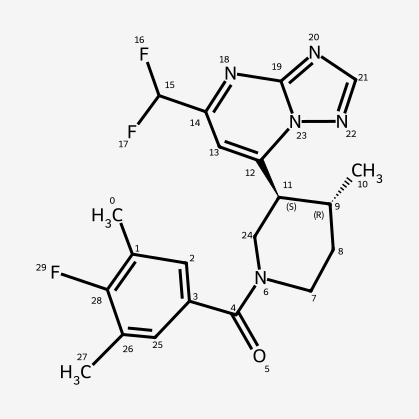 Cc1cc(C(=O)N2CC[C@@H](C)[C@H](c3cc(C(F)F)nc4ncnn34)C2)cc(C)c1F